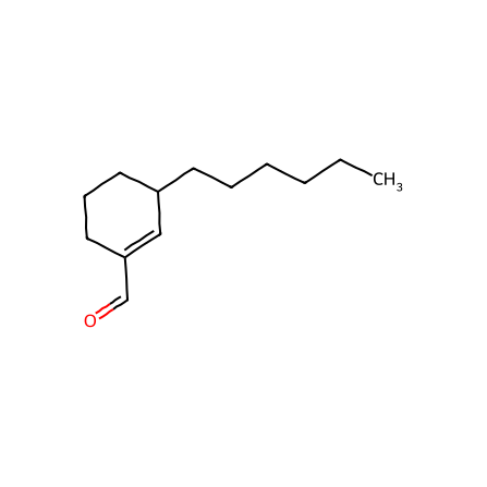 CCCCCCC1C=C(C=O)CCC1